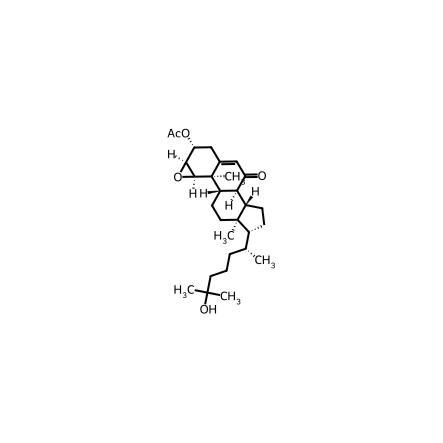 CC(=O)O[C@@H]1CC2=CC(=O)[C@H]3[C@@H]4CC[C@H]([C@H](C)CCCC(C)(C)O)[C@@]4(C)CC[C@@H]3[C@@]2(C)[C@H]2O[C@@H]12